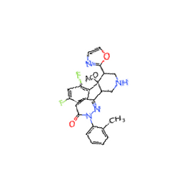 CC(=O)OC1(c2ccc(F)cc2F)C(c2ccc(=O)n(-c3ccccc3C)n2)CNCC1c1ncco1